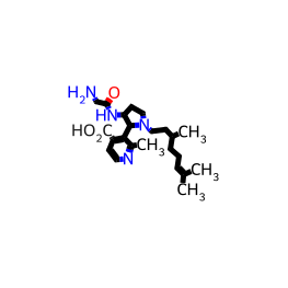 CC(C)=CCCC(C)CCN1CCC(NC(=O)CN)C1c1c(C(=O)O)ccnc1C